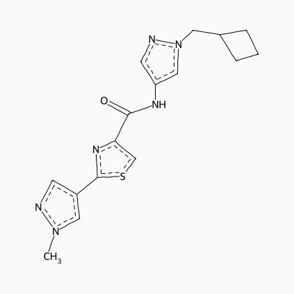 Cn1cc(-c2nc(C(=O)Nc3cnn(CC4CCC4)c3)cs2)cn1